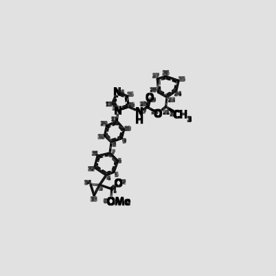 COC(=O)C1(c2ccc(-c3ccc(-n4cncc4NC(=O)O[C@H](C)c4ccccc4)cc3)cc2)CC1